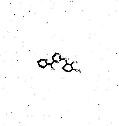 CC1CCCC(Nc2nccc(/C(C#N)=C3/C=CC=CN3)n2)C1C